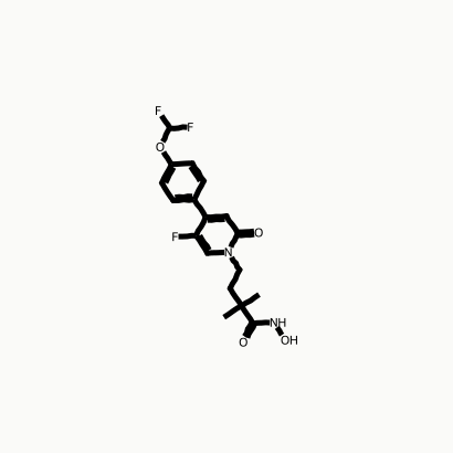 CC(C)(CCn1cc(F)c(-c2ccc(OC(F)F)cc2)cc1=O)C(=O)NO